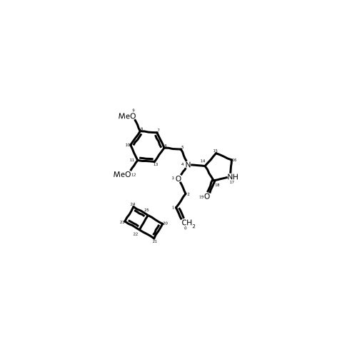 C=CCON(Cc1cc(OC)cc(OC)c1)C1CCNC1=O.c1cc2ccc1-2